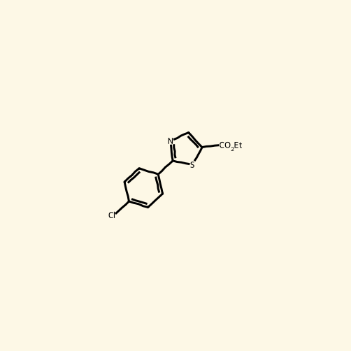 CCOC(=O)c1cnc(-c2ccc(Cl)cc2)s1